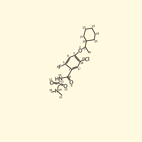 CC(Oc1cc(F)c(C(=O)NS(=O)(=O)N(C)C)cc1Cl)C1CCCCC1